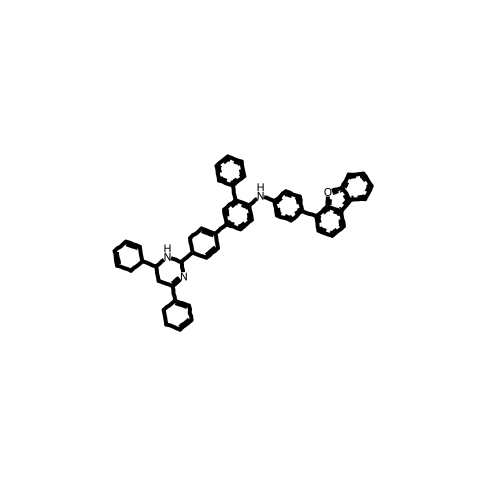 C1=CCCC(C2=NC(C3C=CC(c4ccc(Nc5ccc(-c6cccc7c6oc6ccccc67)cc5)c(-c5ccccc5)c4)=CC3)NC(C3C=CC=CC3)C2)=C1